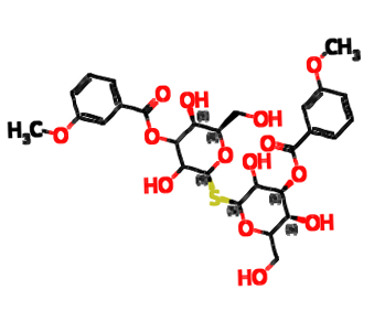 COc1cccc(C(=O)OC2C(O)[C@H](S[C@@H]3OC(CO)[C@H](O)[C@H](OC(=O)c4cccc(OC)c4)C3O)O[C@H](CO)[C@@H]2O)c1